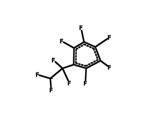 F[C](F)C(F)(F)c1c(F)c(F)c(F)c(F)c1F